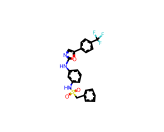 O=S(=O)(Cc1ccccc1)Nc1cccc(Nc2ncc(-c3ccc(C(F)(F)F)cc3)o2)c1